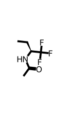 CC[C@H](NC(C)=O)C(F)(F)F